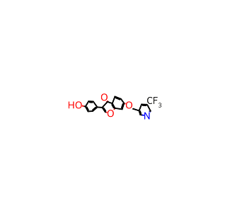 O=c1c(-c2ccc(O)cc2)coc2cc(OCc3cncc(C(F)(F)F)c3)ccc12